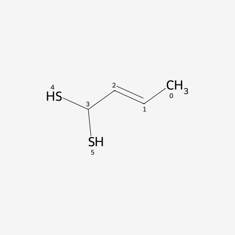 CC=CC(S)S